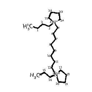 CCCC[N+]1(CCCCCCCC[N+]2(CCC)CCCC2)CCCC1